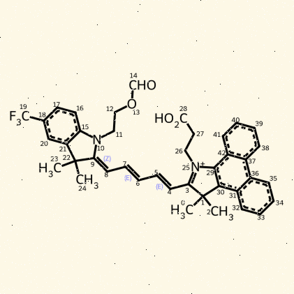 CC1(C)C(/C=C/C=C/C=C2\N(CCOC=O)c3ccc(C(F)(F)F)cc3C2(C)C)=[N+](CCC(=O)O)c2c1c1ccccc1c1ccccc21